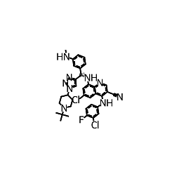 CNc1cccc([C@H](Nc2cc(Cl)cc3c(Nc4ccc(F)c(Cl)c4)c(C#N)cnc23)c2cn(C3CCN(C(C)(C)C)CC3)nn2)c1